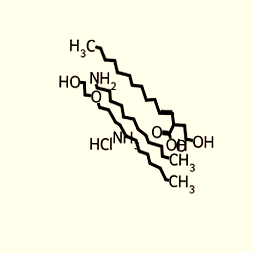 CCCCCCCCCCC=CC(CC(=O)O)C(=O)O.CCCCCCCCCCCCN.CCCCCCCCCCCCOCCO.Cl.N